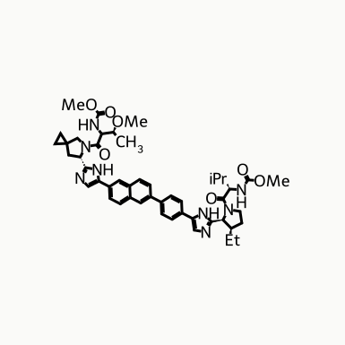 CC[C@@H]1CCN(C(=O)[C@@H](NC(=O)OC)C(C)C)[C@@H]1c1ncc(-c2ccc(-c3ccc4cc(-c5cnc([C@@H]6CC7(CC7)CN6C(=O)C(NC(=O)OC)[C@H](C)OC)[nH]5)ccc4c3)cc2)[nH]1